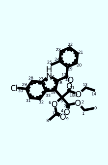 CCOC(=O)C(OC(C)=O)(C(=O)OCC)c1c(C(=O)c2ccccc2C)[nH]c2cc(Cl)ccc12